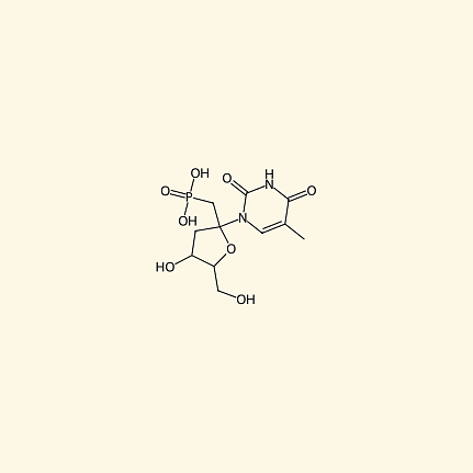 Cc1cn(C2(CP(=O)(O)O)CC(O)C(CO)O2)c(=O)[nH]c1=O